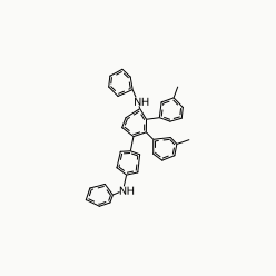 Cc1cccc(-c2c(Nc3ccccc3)ccc(-c3ccc(Nc4ccccc4)cc3)c2-c2cccc(C)c2)c1